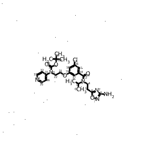 CC(C)N(CCc1nc(N)no1)C(=O)c1cc(Cl)cc(OCCN(C(=O)OC(C)(C)C)c2ccncc2)c1